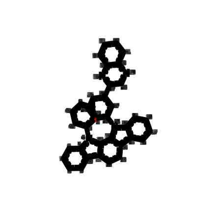 c1ccc(-n2c3ccccc3c3ccc4c5ccccc5n(-c5cccc(-c6cnc7ccccc7n6)c5)c4c32)cc1